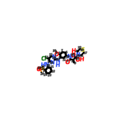 C=C(C(=O)Nc1ccc(OC)c(Nc2ncc(Cl)c(Nc3ccccc3P(C)(C)=O)n2)c1)C(O)(O)N1CCSCC1